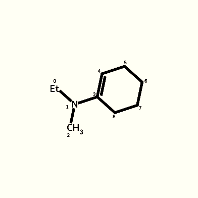 CCN(C)C1=CCCCC1